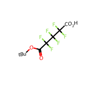 CC(C)(C)OC(=O)C(F)(F)C(F)(F)C(F)(F)C(=O)O